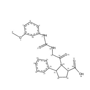 COc1cccc(NC(=O)NCC(=O)N2C(C(=O)O)CCC2c2ccccc2)c1